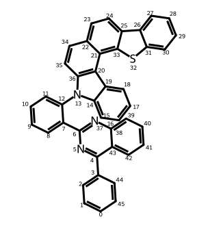 c1ccc(-c2nc(-c3ccccc3-n3c4ccccc4c4c5c(ccc6c7ccccc7sc65)ccc43)nc3ccccc23)cc1